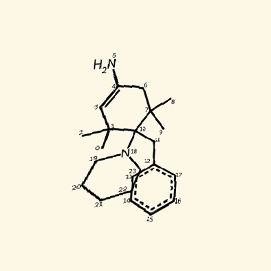 CC1(C)C=C(N)CC(C)(C)C1(Cc1ccccc1)N1CCCCC1